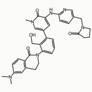 CN(C)c1ccc2c(c1)CCN(c1cccc(-c3cc(Nc4ccc(CN5CCCC5=O)cn4)c(=O)n(C)c3)c1CO)C2=O